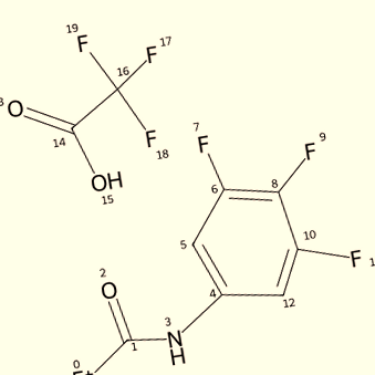 CCC(=O)Nc1cc(F)c(F)c(F)c1.O=C(O)C(F)(F)F